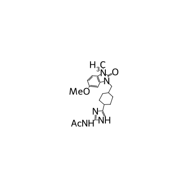 COc1ccc2c(c1)n(CC1CCC(c3c[nH]c(NC(C)=O)n3)CC1)c(=O)n2C